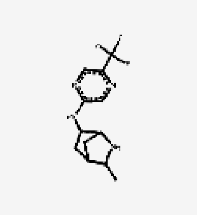 CC1NC2CC1CC2Nc1cnc(C(F)(F)F)cn1